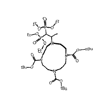 CCOP(=O)(OCC)C(C(C)N1CCN(C(=O)OC(C)(C)C)CCN(C(=O)OC(C)(C)C)CCN(C(=O)OC(C)(C)C)CC1)P(=O)(OCC)OCC